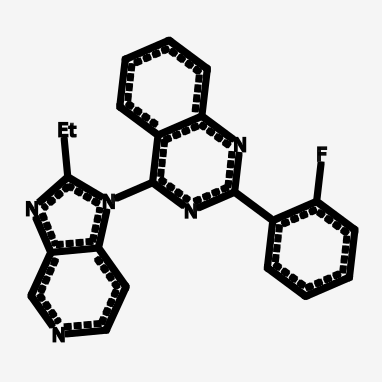 CCc1nc2cnccc2n1-c1nc(-c2ccccc2F)nc2ccccc12